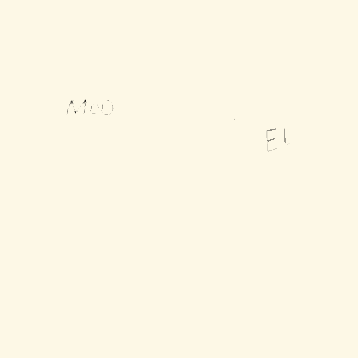 CCC(C)(C)c1ccc(C)cc1OC